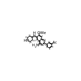 COc1cc2nc(-c3cccc(C(C)=O)c3)nc(N)c2cc1NC1CCNCC1